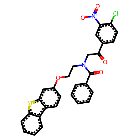 O=C(CN(CCOc1ccc2c(c1)sc1ccccc12)C(=O)c1ccccc1)c1ccc(Cl)c([N+](=O)[O-])c1